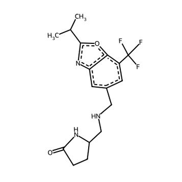 CC(C)c1nc2cc(CNCC3CCC(=O)N3)cc(C(F)(F)F)c2o1